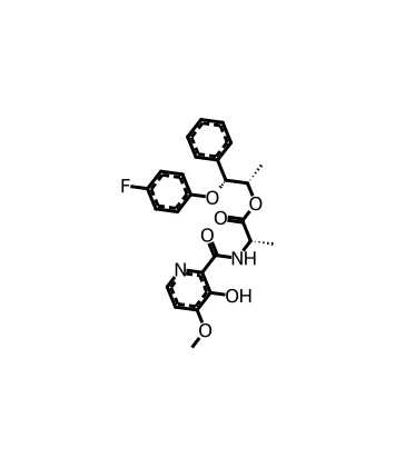 COc1ccnc(C(=O)N[C@@H](C)C(=O)O[C@@H](C)[C@H](Oc2ccc(F)cc2)c2ccccc2)c1O